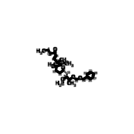 CCSC(=O)/C=C/C(C)(C)[C@]1(OC)O[C@H](C[C@@H](OP)[C@@H](C)OCOCc2ccccc2)CCC1=O